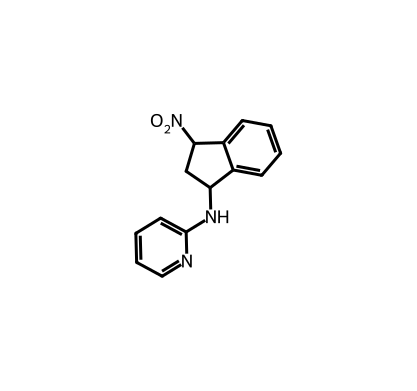 O=[N+]([O-])C1CC(Nc2ccccn2)c2ccccc21